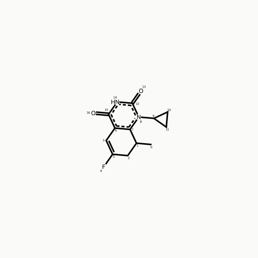 CC1CC(F)=Cc2c1n(C1CC1)c(=O)[nH]c2=O